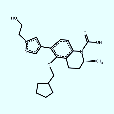 C[C@H]1CCc2c(ccc(-c3cnn(CCO)c3)c2OCC2CCCC2)N1C(=O)O